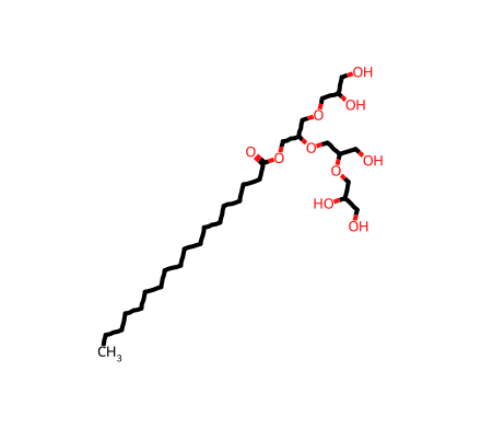 CCCCCCCCCCCCCCCCCC(=O)OCC(COCC(O)CO)OCC(CO)OCC(O)CO